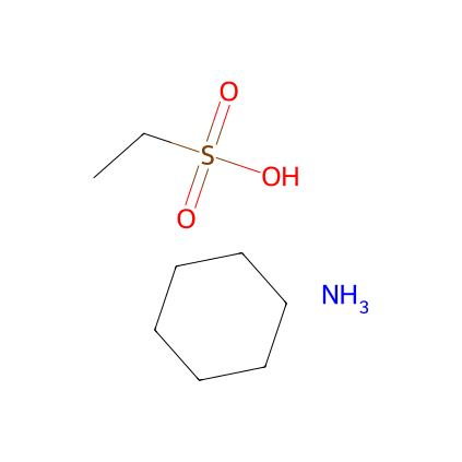 C1CCCCC1.CCS(=O)(=O)O.N